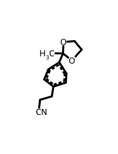 CC1(c2ccc(CCC#N)cc2)OCCO1